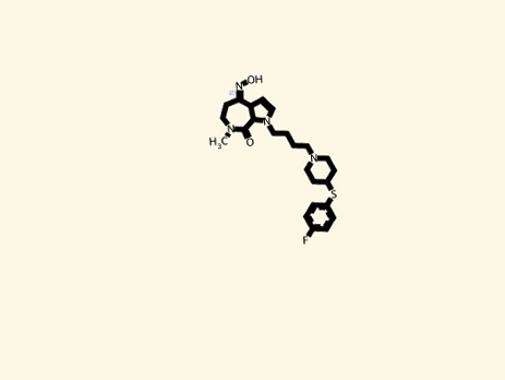 CN1CC/C(=N/O)C2C=CN(CCCCN3CCC(Sc4ccc(F)cc4)CC3)C2C1=O